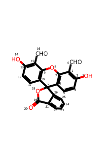 O=Cc1c(O)ccc2c1Oc1c(ccc(O)c1C=O)C21OC(=O)c2ccccc21